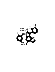 N#Cc1ccc(F)c(Cn2c(C(=O)O)c(-c3ccc[nH]c3=O)c3c4occc4c(F)cc32)c1